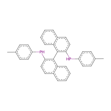 Cc1ccc(Pc2ccc3ccccc3c2-c2c(Pc3ccc(C)cc3)ccc3ccccc23)cc1